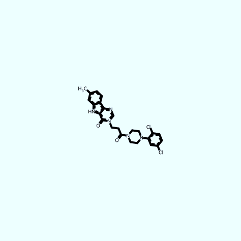 Cc1ccc2c(c1)[nH]c1c(=O)n(CCC(=O)N3CCN(c4cc(Cl)ccc4Cl)CC3)cnc12